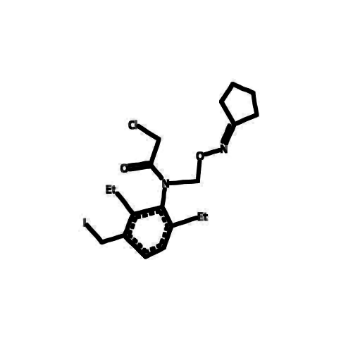 CCc1ccc(CI)c(CC)c1N(CON=C1CCCC1)C(=O)CCl